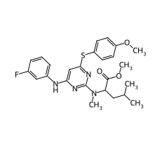 COC(=O)C(CC(C)C)N(C)c1nc(Nc2cccc(F)c2)cc(Sc2ccc(OC)cc2)n1